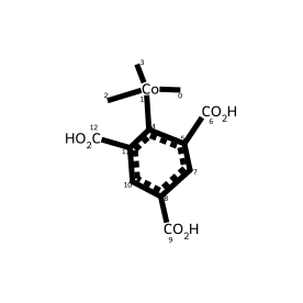 [CH3][Co]([CH3])([CH3])[c]1c(C(=O)O)cc(C(=O)O)cc1C(=O)O